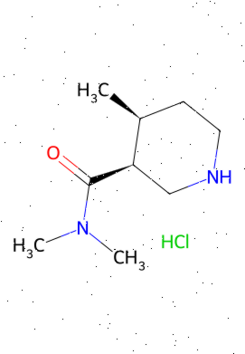 C[C@H]1CCNC[C@H]1C(=O)N(C)C.Cl